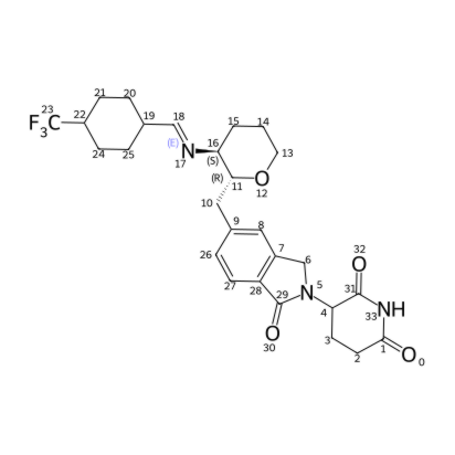 O=C1CCC(N2Cc3cc(C[C@H]4OCCC[C@@H]4/N=C/C4CCC(C(F)(F)F)CC4)ccc3C2=O)C(=O)N1